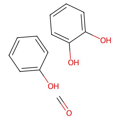 C=O.Oc1ccccc1.Oc1ccccc1O